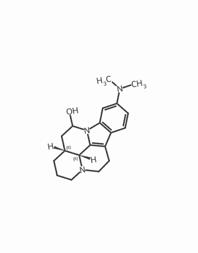 CN(C)c1ccc2c3c4n(c2c1)C(O)C[C@H]1CCCN(CC3)[C@@H]41